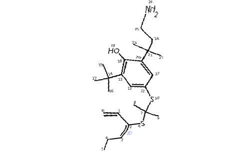 C=C/C(=C\CC)SC(C)(C)Sc1cc(C(C)(C)C)c(O)c(C(C)(C)CCN)c1